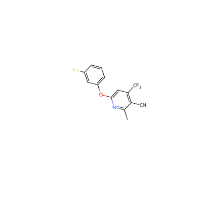 Cc1nc(Oc2cccc(F)c2)cc(C(F)(F)F)c1C#N